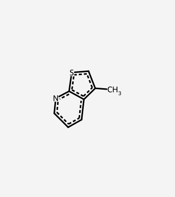 Cc1csc2ncccc12